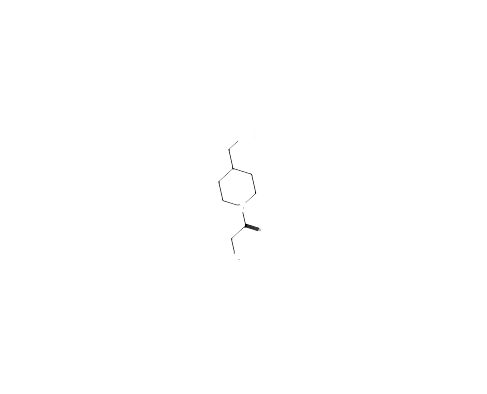 O=C(CBr)N1CCC(CO)CC1